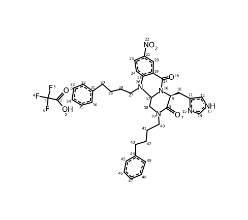 O=C(O)C(F)(F)F.O=C1[C@H](Cc2c[nH]cn2)N2C(=O)c3cc([N+](=O)[O-])ccc3N(CCCCc3ccccc3)C2CN1CCCCc1ccccc1